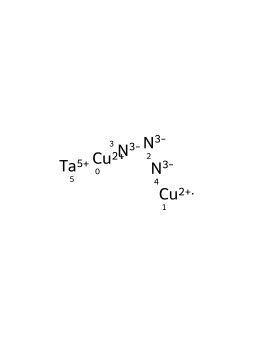 [Cu+2].[Cu+2].[N-3].[N-3].[N-3].[Ta+5]